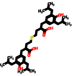 CC(C)Cc1cc(CC(CCSCCC(Cc2cc(CC(C)C)c(O)c(CC(C)C)c2)C(=O)O)C(=O)O)cc(CC(C)C)c1O